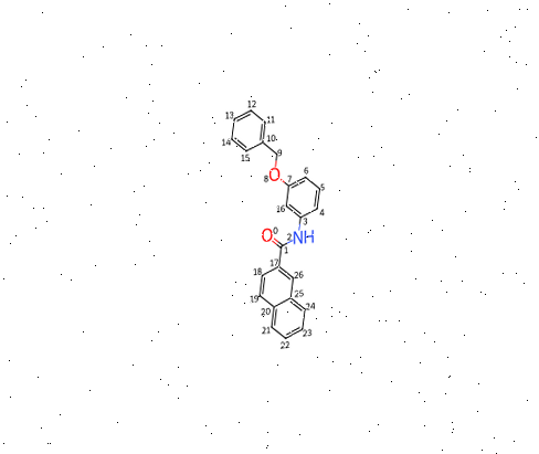 O=C(Nc1cccc(OCc2ccccc2)c1)c1ccc2ccccc2c1